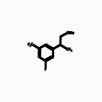 COC[C](C)c1cc(F)cc(C(F)(F)F)c1